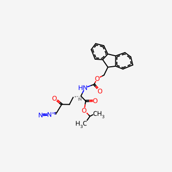 CC(C)OC(=O)[C@H](CCC(=O)C=[N+]=[N-])NC(=O)OCC1c2ccccc2-c2ccccc21